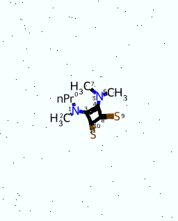 CCCN(C)c1c(N(C)C)c(=S)c1=S